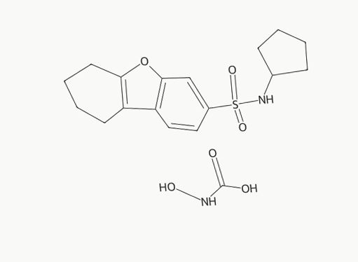 O=C(O)NO.O=S(=O)(NC1CCCC1)c1ccc2c3c(oc2c1)CCCC3